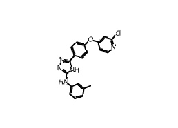 Cc1cccc(Nc2nnc(-c3ccc(Oc4ccnc(Cl)c4)cc3)[nH]2)c1